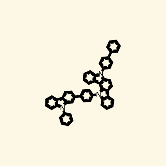 c1ccc(-c2ccc(-n3c4ccccc4c4c3ccc3c5ccccc5n(-c5ccc(-c6ccc7c8ccccc8n(-c8ccccc8)c7c6)cc5)c34)cc2)cc1